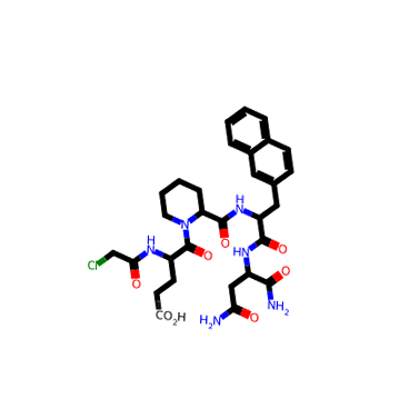 NC(=O)CC(NC(=O)C(Cc1ccc2ccccc2c1)NC(=O)C1CCCCN1C(=O)C(CCC(=O)O)NC(=O)CCl)C(N)=O